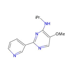 COc1cnc(-c2cccnc2)nc1NC(C)C